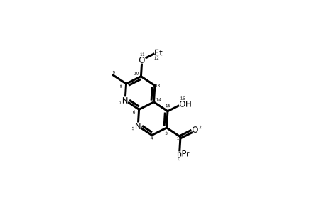 CCCC(=O)c1cnc2nc(C)c(OCC)cc2c1O